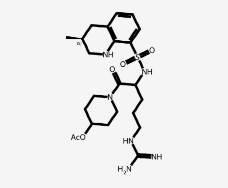 CC(=O)OC1CCN(C(=O)C(CCCNC(=N)N)NS(=O)(=O)c2cccc3c2NC[C@@H](C)C3)CC1